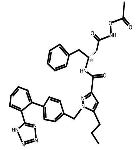 CCCc1cc(C(=O)N[C@@H](CC(=O)NOC(C)=O)Cc2ccccc2)nn1Cc1ccc(-c2ccccc2-c2nnn[nH]2)cc1